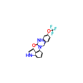 NC(=O)N(Cc1ccc(OC(F)(F)F)cc1)c1cccc2[nH]ccc12